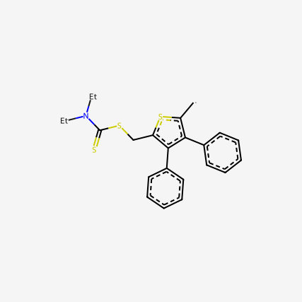 [CH2]c1sc(CSC(=S)N(CC)CC)c(-c2ccccc2)c1-c1ccccc1